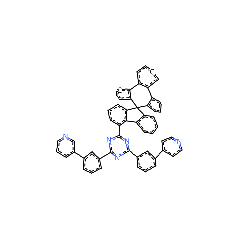 c1cncc(-c2cccc(-c3nc(-c4cccc(-c5ccncc5)c4)nc(-c4cccc5c4-c4ccccc4C54c5ccccc5-c5ccccc5-c5ccccc54)n3)c2)c1